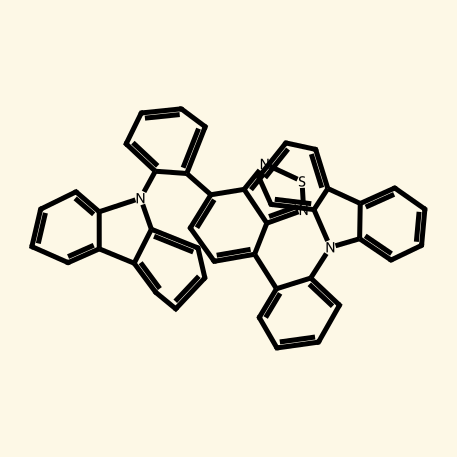 c1ccc(-n2c3ccccc3c3ccccc32)c(-c2ccc(-c3ccccc3-n3c4ccccc4c4ccccc43)c3nsnc23)c1